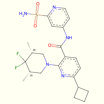 C[C@@H]1CN(c2nc(C3CCC3)ccc2C(=O)Nc2ccnc(S(N)(=O)=O)c2)C[C@H](C)C1(F)F